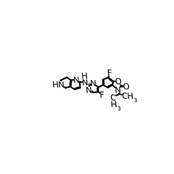 CC(C)n1c(=O)oc2c(F)cc(-c3nc(Nc4ccc5c(n4)CCNC5)ncc3F)cc21